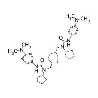 CN(C)c1ccc(NC(=O)N(C[C@H]2CC[C@H](CN(C(=O)Nc3ccc(N(C)C)cc3)C3CCCC3)CC2)C2CCCC2)cc1